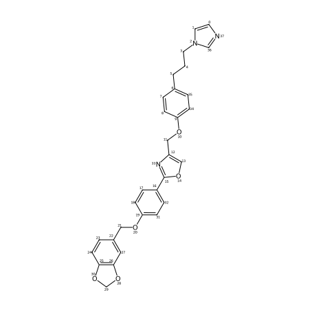 c1cn(CCCc2ccc(OCc3coc(-c4ccc(OCc5ccc6c(c5)OCO6)cc4)n3)cc2)cn1